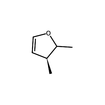 CC1OC=C[C@@H]1C